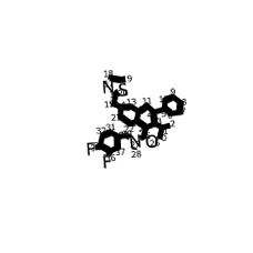 CC(C)c1c(-c2ccccc2)cc2cc(Cc3nccs3)ccc2c1C(=O)N(C)Cc1ccc(F)c(F)c1